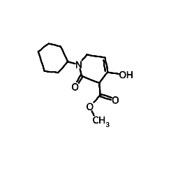 COC(=O)C1C(=O)N(C2CCCCC2)CC=C1O